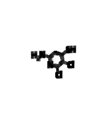 Nc1cc(S)c(Cl)c(Cl)n1